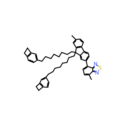 Cc1ccc2c(c1)C(CCCCCCCCc1ccc3c(c1)CC3)(CCCCCCCCc1ccc3c(c1)CC3)c1cc(-c3ccc(C)c4nsnc34)ccc1-2